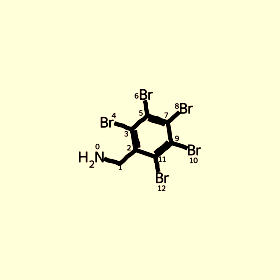 NCc1c(Br)c(Br)c(Br)c(Br)c1Br